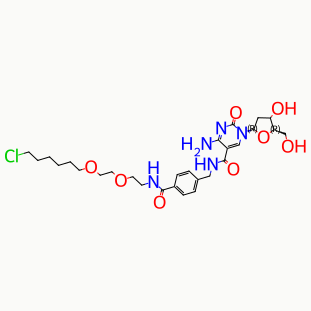 Nc1nc(=O)n([C@H]2CC(O)[C@@H](CO)O2)cc1C(=O)NCc1ccc(C(=O)NCCOCCOCCCCCCCl)cc1